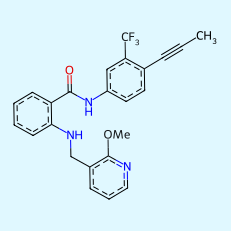 CC#Cc1ccc(NC(=O)c2ccccc2NCc2cccnc2OC)cc1C(F)(F)F